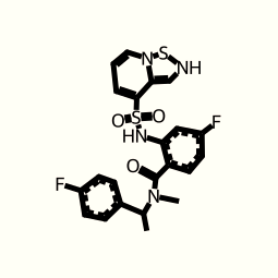 CC(c1ccc(F)cc1)N(C)C(=O)c1ccc(F)cc1NS(=O)(=O)C1=CC=CN2SNC=C12